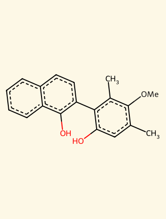 COc1c(C)cc(O)c(-c2ccc3ccccc3c2O)c1C